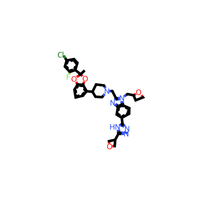 CC1(c2ccc(Cl)cc2F)Oc2cccc(C3CCN(Cc4nc5cc(-c6nnc(C7COC7)[nH]6)ccc5n4CC4CCO4)CC3)c2O1